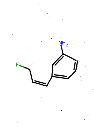 Nc1cccc(/C=C\CF)c1